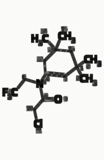 CC1(C)C=C(N(CC(F)(F)F)C(=O)CCl)CC(C)(C)C1